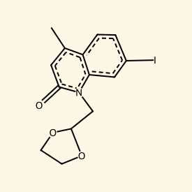 Cc1cc(=O)n(CC2OCCO2)c2cc(I)ccc12